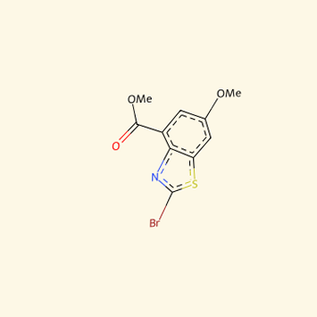 COC(=O)c1cc(OC)cc2sc(Br)nc12